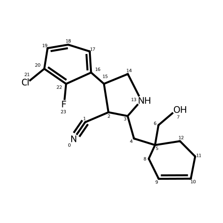 N#CC1C(CC2(CO)CC=CCC2)NCC1c1cccc(Cl)c1F